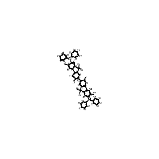 Cc1cc2c(cc1-c1cc3c(cc1C)-c1cc(C)c(N(c4ccccc4)c4ccccc4)cc1C3(C)C)C(C)(C)c1cc(N(c3ccccc3)c3ccccc3)c(C)cc1-2